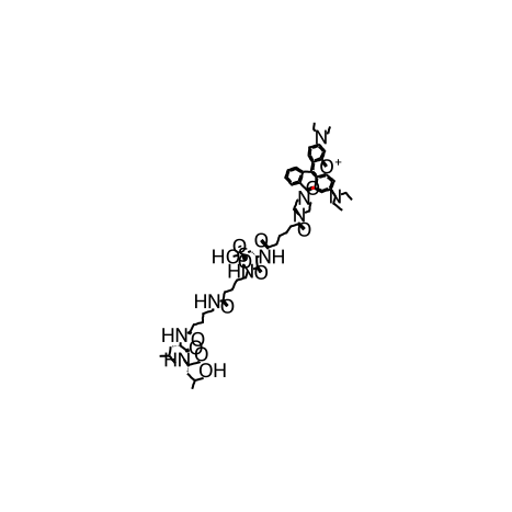 CCN(CC)c1ccc2c(-c3ccccc3C(=O)N3CCN(C(=O)CCCCC(=O)N[C@@H](CS(=O)(=O)O)C(=O)NCCCCC(=O)NCCCCC(=O)N[C@@H](CC(C)C)C(=O)N[C@@H](CC(C)C)C(=O)O)CC3)c3ccc(N(CC)CC)cc3[o+]c2c1